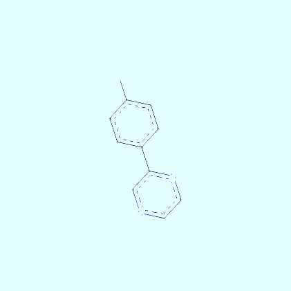 CCC(C)c1ccc(-c2cnccn2)cc1